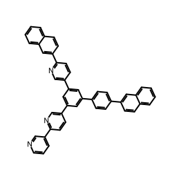 c1cncc(-c2ccc(-c3cc(-c4ccc(-c5ccc6ccccc6c5)cc4)cc(-c4ccc(-c5ccc6ccccc6c5)nc4)c3)cn2)c1